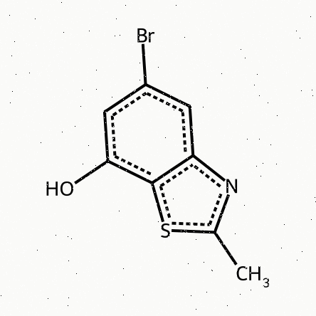 Cc1nc2cc(Br)cc(O)c2s1